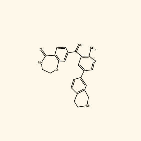 N=C(c1ccc2c(c1)OCCNC2=O)c1cc(-c2ccc3c(c2)CNCC3)cnc1N